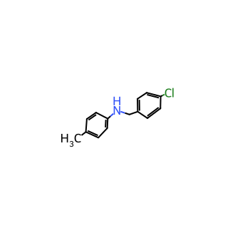 Cc1ccc(NCc2ccc(Cl)cc2)cc1